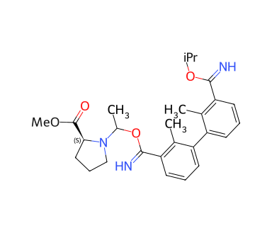 COC(=O)[C@@H]1CCCN1C(C)OC(=N)c1cccc(-c2cccc(C(=N)OC(C)C)c2C)c1C